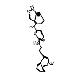 c1ccc2c(CCNc3nccc(Nc4cccc5[nH]ncc45)n3)c[nH]c2c1